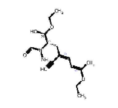 C#C/C(=C\C=C(/C)OCC)C[C@@H]([C@@H](O)OCC)N(N)C=O